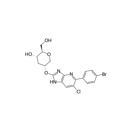 OC[C@H]1OC[C@H](Oc2nc3nc(-c4ccc(Br)cc4)c(Cl)cc3[nH]2)C[C@@H]1O